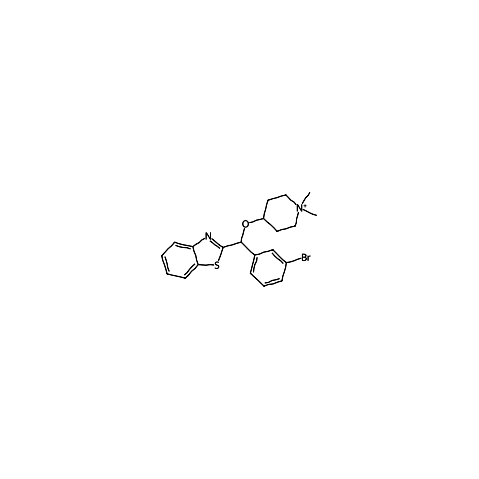 C[N+]1(C)CCC(OC(c2cccc(Br)c2)c2nc3ccccc3s2)CC1